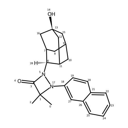 CC1(C)C(=O)N([C@H]2C3CC4CC2C[C@@](O)(C4)C3)N1c1ccc2ccccc2c1